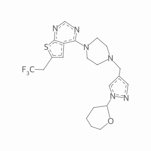 FC(F)(F)Cc1cc2c(N3CCN(Cc4cnn(C5CCCCO5)c4)CC3)ncnc2s1